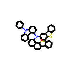 c1ccc(-n2c3ccccc3c3c(N(c4ccc5sc6ccccc6c5c4)c4cccc5ccc6c7ccccc7sc6c45)cccc32)cc1